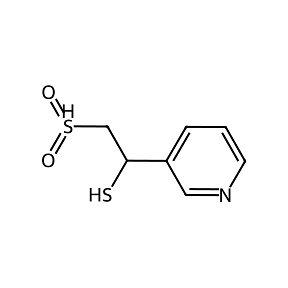 O=[SH](=O)CC(S)c1cccnc1